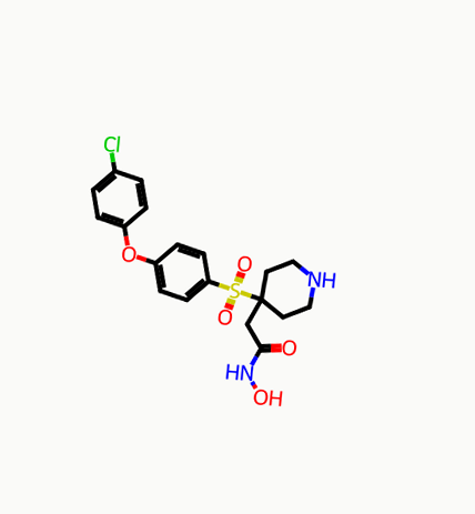 O=C(CC1(S(=O)(=O)c2ccc(Oc3ccc(Cl)cc3)cc2)CCNCC1)NO